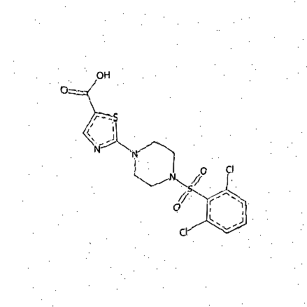 O=C(O)c1cnc(N2CCN(S(=O)(=O)c3c(Cl)cccc3Cl)CC2)s1